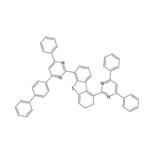 C1=c2sc3c(-c4nc(-c5ccccc5)cc(-c5ccc(-c6ccccc6)cc5)n4)cccc3c2=C(c2nc(-c3ccccc3)cc(-c3ccccc3)n2)CC1